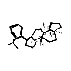 CN(C)c1ccccc1C1=C2CC[C@H]3[C@@H]4CCC[C@@]4(C)CC[C@@H]3[C@@]2(C)CCC1